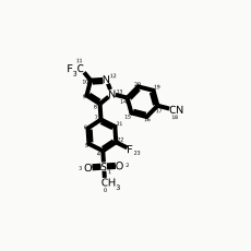 CS(=O)(=O)c1ccc(-c2cc(C(F)(F)F)nn2-c2ccc(C#N)cc2)cc1F